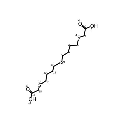 O=C(O)CSCCCCSCCCCSCC(=O)O